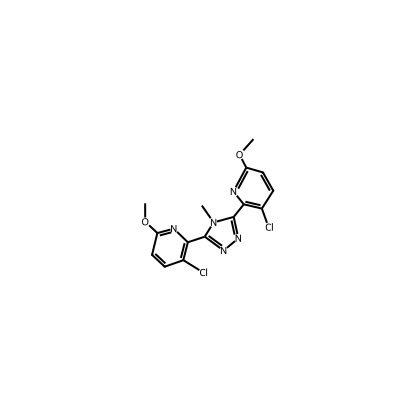 COc1ccc(Cl)c(-c2nnc(-c3nc(OC)ccc3Cl)n2C)n1